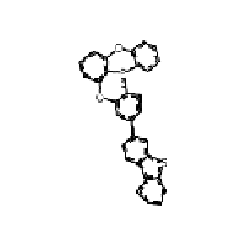 S=P12c3ccccc3Oc3cccc(c31)Oc1cc(-c3ccc4c(c3)sc3ccccc34)ccc12